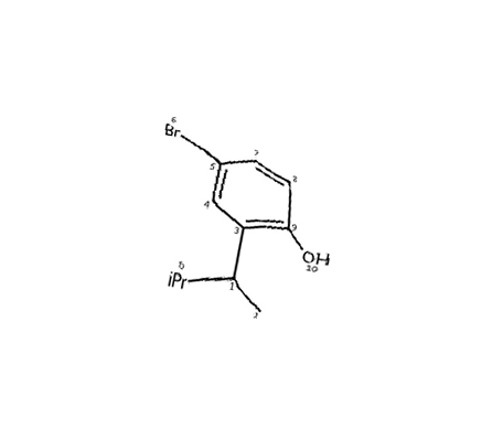 CC(C)C(C)c1cc(Br)ccc1O